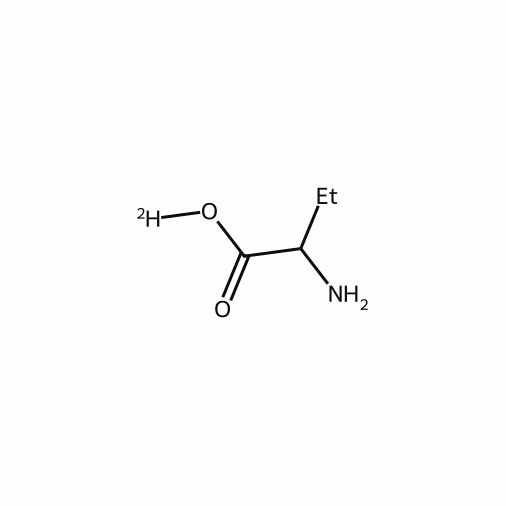 [2H]OC(=O)C(N)CC